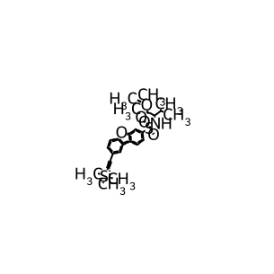 CC(C)C(NS(=O)(=O)c1ccc2c(c1)oc1ccc(C#C[Si](C)(C)C)cc12)C(=O)OC(C)(C)C